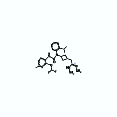 Cc1ccc(NC(=O)N(c2ccccc2C(C)C)C2CC(C/C(=N/N)NN)C2)c(OC(F)F)n1